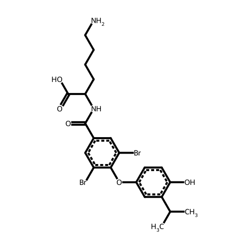 CC(C)c1cc(Oc2c(Br)cc(C(=O)NC(CCCCN)C(=O)O)cc2Br)ccc1O